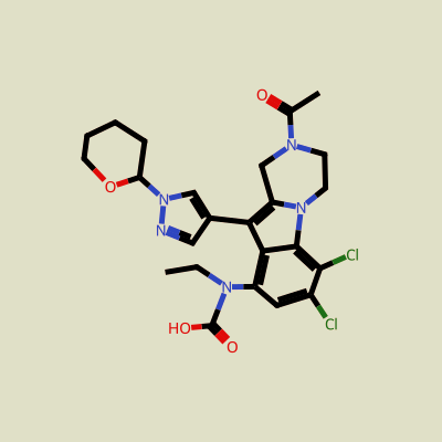 CCN(C(=O)O)c1cc(Cl)c(Cl)c2c1c(-c1cnn(C3CCCCO3)c1)c1n2CCN(C(C)=O)C1